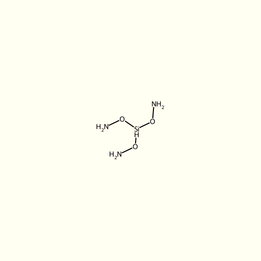 NO[SiH](ON)ON